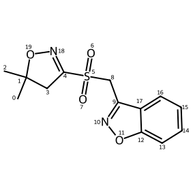 CC1(C)CC(S(=O)(=O)Cc2noc3ccccc23)=NO1